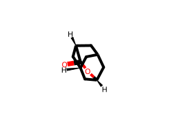 O=C1O[C@@H]2CC3C[C@H](C2)C[C@@H]1C3